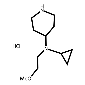 COCCN(C1CCNCC1)C1CC1.Cl